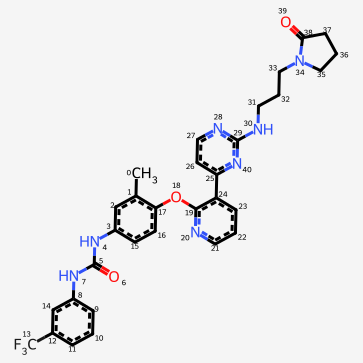 Cc1cc(NC(=O)Nc2cccc(C(F)(F)F)c2)ccc1Oc1ncccc1-c1ccnc(NCCCN2CCCC2=O)n1